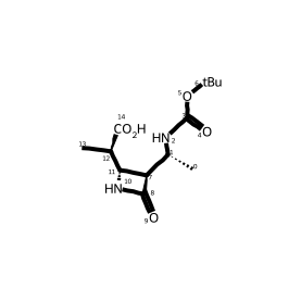 C[C@@H](NC(=O)OC(C)(C)C)[C@H]1C(=O)N[C@@H]1[C@@H](C)C(=O)O